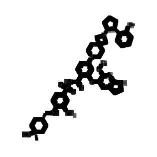 CCOc1nc2[nH]ccc2cc1Oc1cc(N2CCC3(CC2)CN([C@H]2CCC[C@H]2c2ccccc2C(C)C)C3)ccc1C(=O)NS(=O)(=O)c1ccc(NC[C@H]2CC[C@](C)(O)CC2)c([N+](=O)[O-])c1